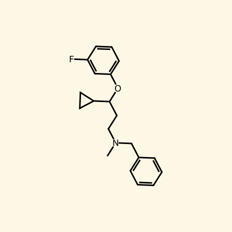 CN(CCC(Oc1cccc(F)c1)C1CC1)Cc1ccccc1